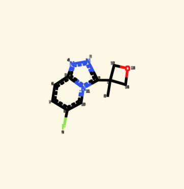 CC1(c2nnc3ccc(F)cn23)COC1